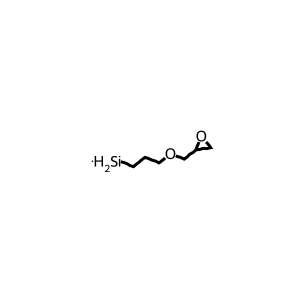 [SiH2]CCCOCC1CO1